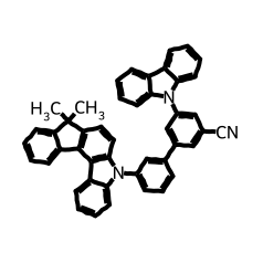 CC1(C)c2ccccc2-c2c1ccc1c2c2ccccc2n1-c1cccc(-c2cc(C#N)cc(-n3c4ccccc4c4ccccc43)c2)c1